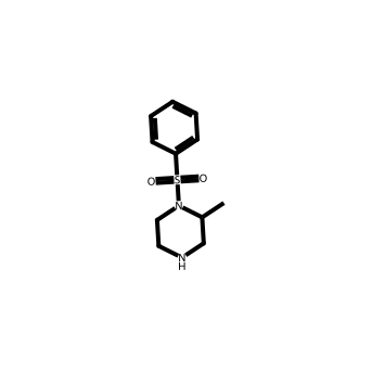 CC1CNCCN1S(=O)(=O)c1ccccc1